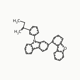 C=C(CC)c1cccc(-n2c3ccccc3c3ccc(-c4cccc5oc6ccccc6c45)cc32)c1